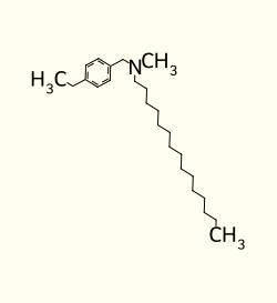 CCCCCCCCCCCCCCCN(C)Cc1ccc(CC)cc1